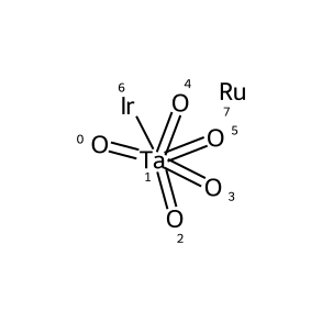 [O]=[Ta](=[O])(=[O])(=[O])(=[O])[Ir].[Ru]